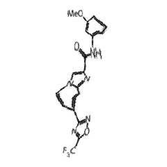 COc1cccc(NC(=O)c2cn3ccc(-c4noc(C(F)(F)F)n4)cc3n2)c1